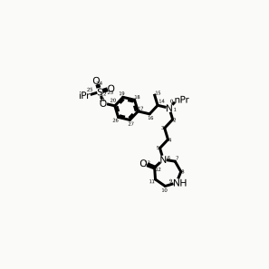 CCCN(CCCCN1CCNCCC1=O)C(C)Cc1ccc(OS(=O)(=O)C(C)C)cc1